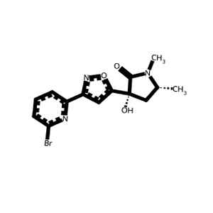 C[C@@H]1C[C@@](O)(c2cc(-c3cccc(Br)n3)no2)C(=O)N1C